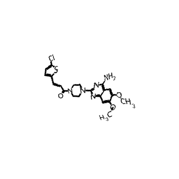 COc1cc2nc(N3CCN(C(=O)C=Cc4ccc(Cl)s4)CC3)nc(N)c2cc1OC